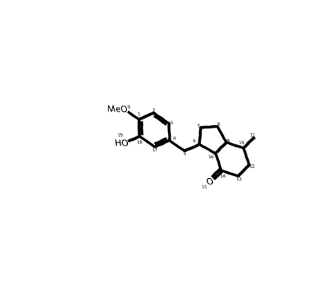 COc1ccc(CC2CCC3C(C)CCC(=O)C23)cc1O